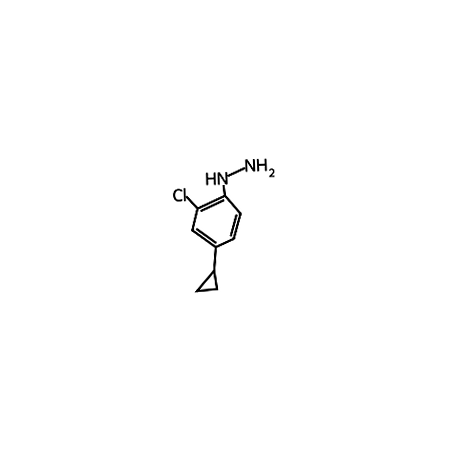 NNc1ccc(C2CC2)cc1Cl